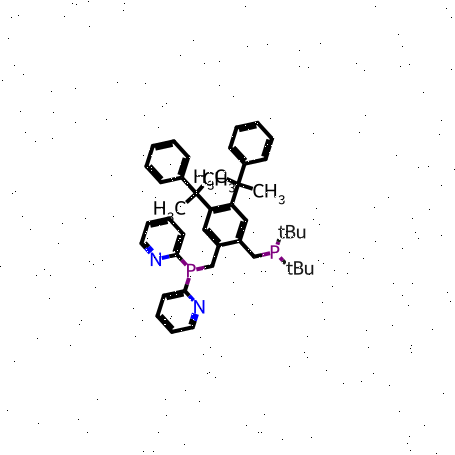 CC(C)(c1ccccc1)c1cc(CP(c2ccccn2)c2ccccn2)c(CP(C(C)(C)C)C(C)(C)C)cc1C(C)(C)c1ccccc1